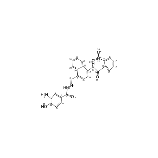 Nc1cc(C(=O)N/N=C/c2ccc(NC(=O)c3ccccc3[N+](=O)[O-])c3ccccc23)ccc1O